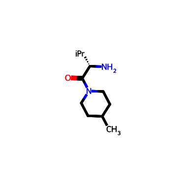 CC1CCN(C(=O)[C@@H](N)C(C)C)CC1